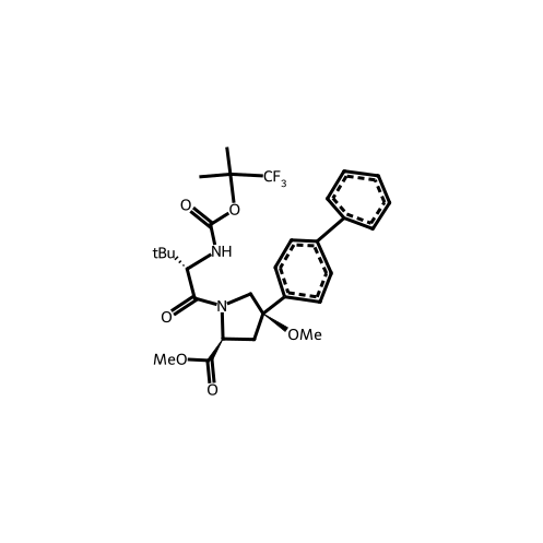 COC(=O)[C@@H]1C[C@@](OC)(c2ccc(-c3ccccc3)cc2)CN1C(=O)[C@@H](NC(=O)OC(C)(C)C(F)(F)F)C(C)(C)C